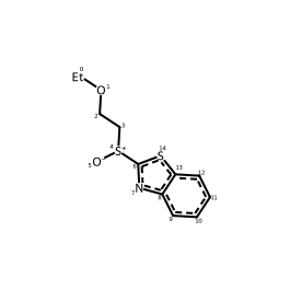 CCOCC[S+]([O-])c1nc2ccccc2s1